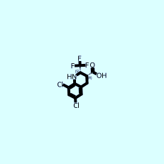 O=C(O)[C@@H]1Cc2cc(Cl)cc(Cl)c2N[C@@H]1C(F)(F)F